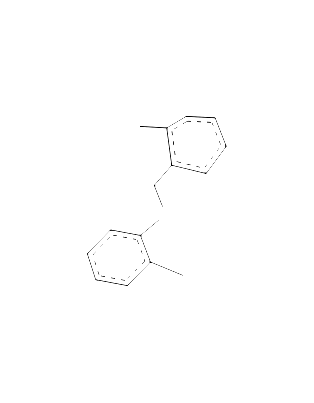 Cc1ccccc1OCc1ccccc1F